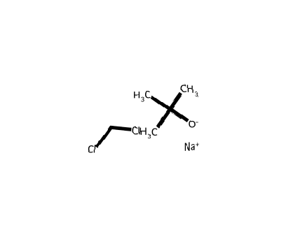 CC(C)(C)[O-].ClCCl.[Na+]